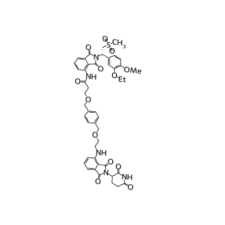 CCOc1cc([C@@H](CS(C)(=O)=O)N2C(=O)c3cccc(NC(=O)CCOCc4ccc(COCCNc5cccc6c5C(=O)N(C5CCC(=O)NC5=O)C6=O)cc4)c3C2=O)ccc1OC